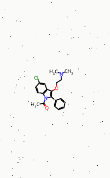 CC(=O)n1c(-c2ccccc2)c(OCCN(C)C)c2cc(Cl)ccc21